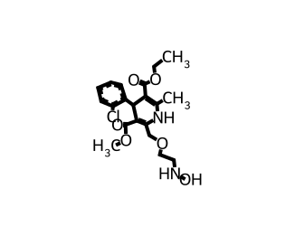 CCOC(=O)C1=C(C)NC(COCCNO)=C(C(=O)OC)C1c1ccccc1Cl